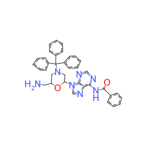 NCC1CN(C(c2ccccc2)(c2ccccc2)c2ccccc2)CC(n2cnc3c(NC(=O)c4ccccc4)ncnc32)O1